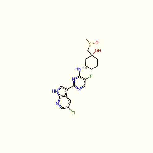 C[S+]([O-])CC1(O)CCC[C@H](Nc2nc(-c3c[nH]c4ncc(Cl)cc34)ncc2F)C1